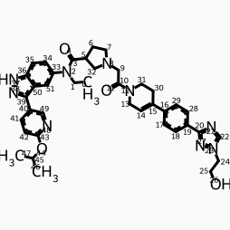 CCN(C(=O)C1CCN(CC(=O)N2CC=C(c3ccc(-c4ncn(CCO)n4)cc3)CC2)C1)c1ccc2[nH]nc(-c3ccc(OC(C)C)nc3)c2c1